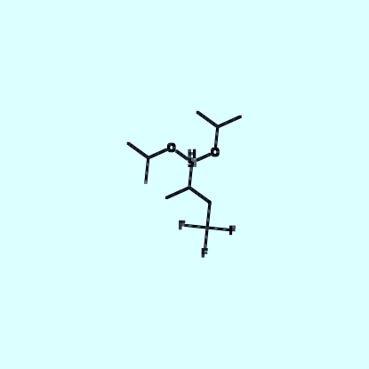 CC(C)O[SiH](OC(C)C)C(C)CC(F)(F)F